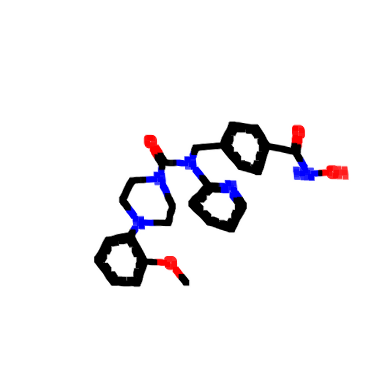 COc1ccccc1N1CCN(C(=O)N(Cc2ccc(C(=O)NO)cc2)c2ccccn2)CC1